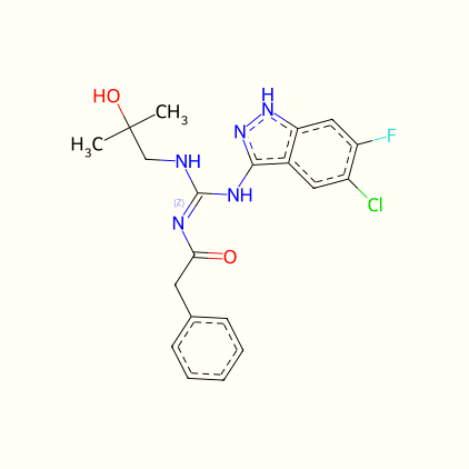 CC(C)(O)CN/C(=N/C(=O)Cc1ccccc1)Nc1n[nH]c2cc(F)c(Cl)cc12